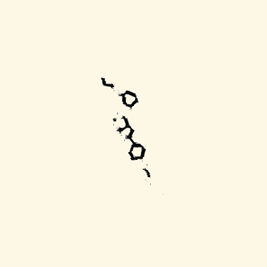 C=CC(=O)Nc1cccc(Oc2ncnc3[nH]c(-c4ccc(NCCN)cc4)cc23)c1